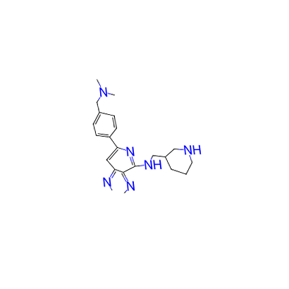 C/N=C1/C=C(c2ccc(CN(C)C)cc2)N=C(NCC2CCCNC2)/C1=N/C